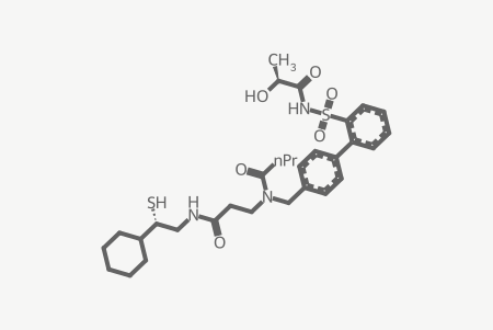 CCCC(=O)N(CCC(=O)NC[C@@H](S)C1CCCCC1)Cc1ccc(-c2ccccc2S(=O)(=O)NC(=O)[C@H](C)O)cc1